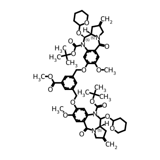 C=C1C[C@H]2C(OC3CCCCO3)N(C(=O)OC(C)(C)C)c3cc(OCc4cc(COc5cc6c(cc5OC)C(=O)N5CC(=C)C[C@H]5[C@H](OC5CCCCO5)N6C(=O)OC(C)(C)C)cc(C(=O)OC)c4)c(OC)cc3C(=O)N2C1